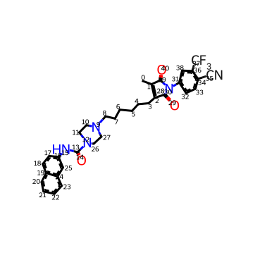 CC1=C(CCCCCCN2CCN(C(=O)Nc3ccc4ccccc4c3)CC2)C(=O)N(c2ccc(C#N)c(C(F)(F)F)c2)C1=O